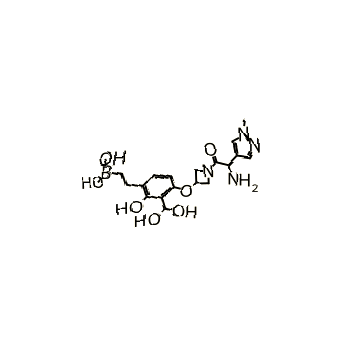 Cn1cc(C(N)C(=O)N2CC(Oc3ccc(CCB(O)O)c(O)c3C(O)O)C2)cn1